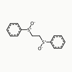 [O-][S+](CC[S+]([O-])c1ccccc1)c1ccccc1